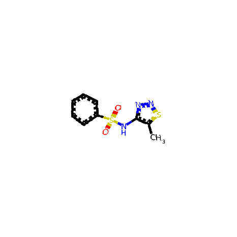 Cc1snnc1NS(=O)(=O)c1ccccc1